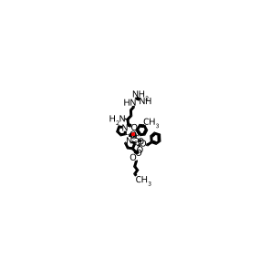 CCCCCOC(=O)C1CCN(C(=O)[C@@H]2CCCN2C(=O)[C@@H](N)CCCNC(=N)N)[C@@]1(C(=O)OCc1ccccc1)S(=O)(=O)c1ccc(C)cc1